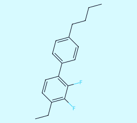 CCCCc1ccc(-c2ccc(CC)c(F)c2F)cc1